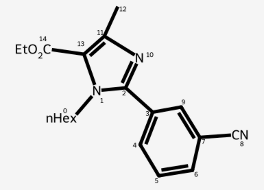 CCCCCCn1c(-c2cccc(C#N)c2)nc(C)c1C(=O)OCC